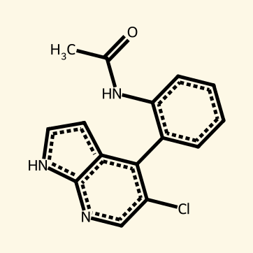 CC(=O)Nc1ccccc1-c1c(Cl)cnc2[nH]ccc12